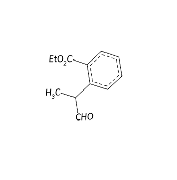 CCOC(=O)c1ccccc1C(C)C=O